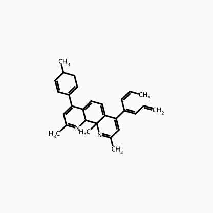 C=C/C=C(\C=C/C)C1=CC(C)=NC2(C)C1=CC=C1C(C3=CCC(C)C=C3)=CC(C)=NC12